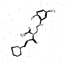 NC(=O)N(CCNc1cc(Cl)ccc1F)C(=O)[CH]CC1CCCCC1